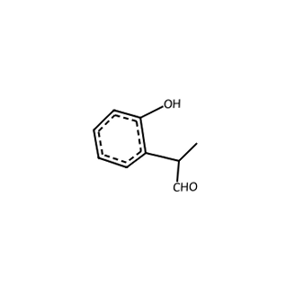 CC(C=O)c1ccccc1O